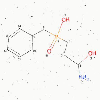 NC(O)CCP(=O)(O)Cc1ccccc1